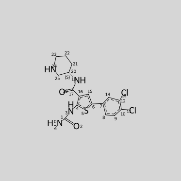 NC(=O)Nc1sc(-c2ccc(Cl)c(Cl)c2)cc1C(=O)N[C@H]1CCCNC1